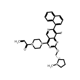 C=CC(=O)N1CCN(c2nc(OC[C@@H]3CCCN3C)nc3c(F)c(-c4cccc5ccccc45)ncc23)CC1